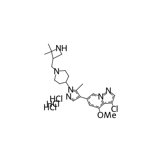 COc1cc(-c2cnn(C3CCN(CC4CNC4(C)C)CC3)c2C)cn2ncc(Cl)c12.Cl.Cl.Cl